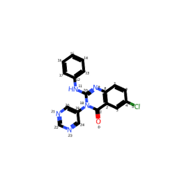 O=c1c2cc(Cl)ccc2nc(Nc2ccccc2)n1-c1cncnc1